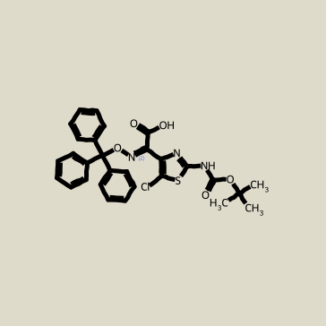 CC(C)(C)OC(=O)Nc1nc(/C(=N/OC(c2ccccc2)(c2ccccc2)c2ccccc2)C(=O)O)c(Cl)s1